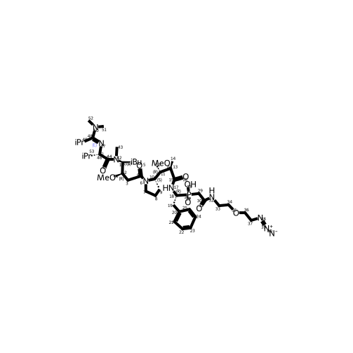 CC[C@H](C)[C@@H]([C@@H](CC(=O)N1CCC[C@H]1[C@H](OC)[C@@H](C)C(=O)N[C@@H](Cc1ccccc1)P(=O)(O)CC(=O)NCCOCCN=[N+]=[N-])OC)N(C)C(=O)[C@@H](/N=C(\C(C)C)N(C)C)C(C)C